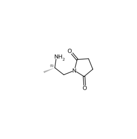 C[C@H](N)CN1C(=O)CCC1=O